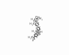 Cc1nc(N2CCN(C(=O)OC(C)(C)C)[C@H](C)C2)ccc1NS(=O)(=O)c1ccc([C@@H](C)CF)cc1